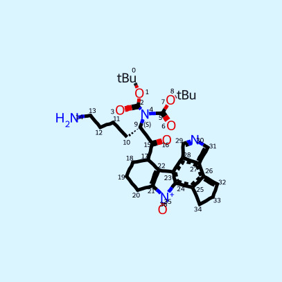 CC(C)(C)OC(=O)N(C(=O)OC(C)(C)C)[C@@H](CCCCN)C(=O)C1CCCC2=C1c1c(c3c(c4c1C=NC=4)=CCC3)[N+]2=O